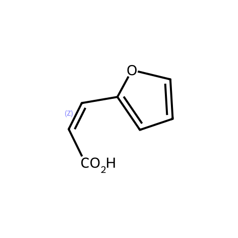 O=C(O)/C=C\c1ccco1